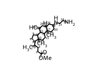 COC(=O)CC[C@@H](C)[C@H]1CCC2C3C(CC[C@@]21C)[C@@]1(C)CC[C@H](NCCN)C[C@H]1C[C@H]3O